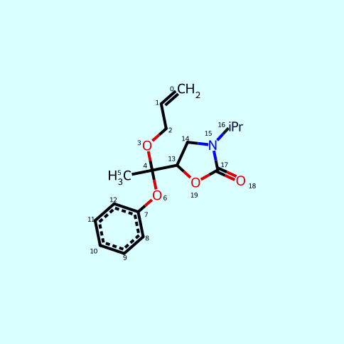 C=CCOC(C)(Oc1ccccc1)C1CN(C(C)C)C(=O)O1